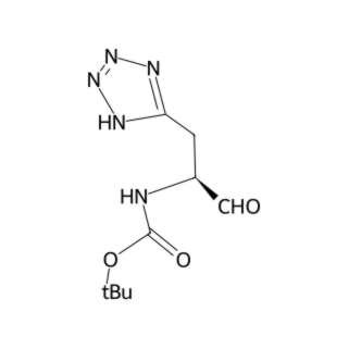 CC(C)(C)OC(=O)N[C@H](C=O)Cc1nnn[nH]1